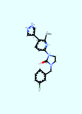 COc1nc(N2CCN(Cc3cccc(Cl)c3)C2=O)ccc1-c1cn[nH]c1